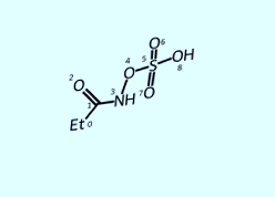 CCC(=O)NOS(=O)(=O)O